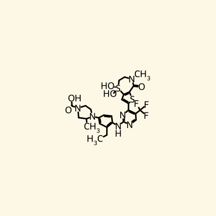 CCc1cc(N2CCN(C(=O)O)CC2C)ccc1Nc1ncc(C(F)(F)F)c(-c2cc3c(s2)C(=O)N(C)CCS3(O)O)n1